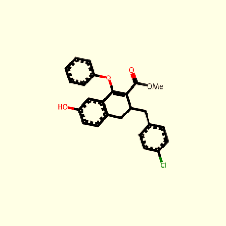 COC(=O)C1=C(Oc2ccccc2)c2cc(O)ccc2CC1Cc1ccc(Cl)cc1